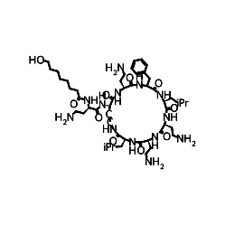 CC(C)C[C@@H]1NC(=O)C(Cc2ccccc2)NC(=O)[C@H](CCN)NC(=O)[C@@H](NC(=O)[C@@H](CCN)NC(=O)CCCCCCCO)CCNC(=O)[C@H](CC(C)C)NC(=O)[C@H](CCN)NC(=O)[C@H](CCN)NC1=O